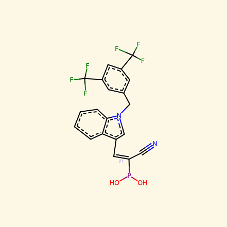 N#C/C(=C\c1cn(Cc2cc(C(F)(F)F)cc(C(F)(F)F)c2)c2ccccc12)P(O)O